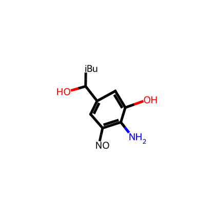 CCC(C)C(O)c1cc(O)c(N)c(N=O)c1